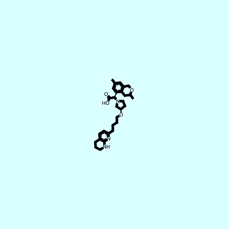 Cc1cc2c(c([C@H](C(=O)O)N3CC[C@@H](OCCCCc4ccc5c(n4)NCCC5)C3)c1)CC(C)OC2